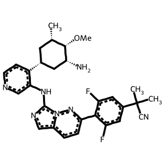 CO[C@@H]1[C@H](N)C[C@H](c2ccncc2Nc2ncc3ccc(-c4c(F)cc(C(C)(C)C#N)cc4F)nn23)C[C@@H]1C